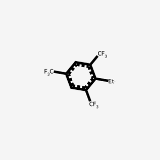 C[CH]c1c(C(F)(F)F)cc(C(F)(F)F)cc1C(F)(F)F